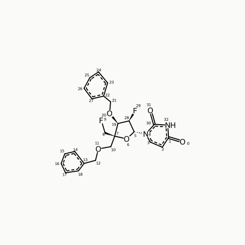 O=c1ccn([C@@H]2O[C@](CF)(COCc3ccccc3)[C@@H](OCc3ccccc3)[C@H]2F)c(=O)[nH]1